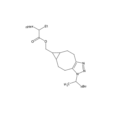 CCCCCCC(CC)C(=O)OCC1C2CCc3nnn(C(C)CCCC)c3CCC21